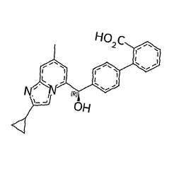 Cc1cc([C@H](O)c2ccc(-c3ccccc3C(=O)O)cc2)n2cc(C3CC3)nc2c1